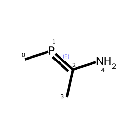 C/P=C(\C)N